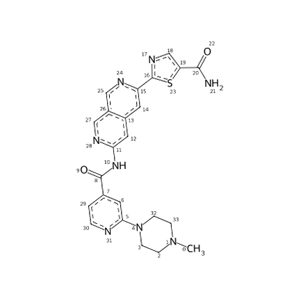 CN1CCN(c2cc(C(=O)Nc3cc4cc(-c5ncc(C(N)=O)s5)ncc4cn3)ccn2)CC1